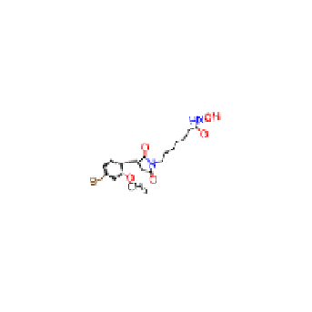 COc1cc(Br)ccc1/C=C1\CC(=O)N(CCCCCCC(=O)NO)C1=O